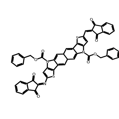 O=C1C(=Cc2cc3c(s2)c2c(n3C(=O)OCc3ccccc3)=CC3C=c4c(n(C(=O)OCc5ccccc5)c5cc(N=c6c(=O)c7ccccc7c6=O)sc45)=CC3C=2)C(=O)c2ccccc21